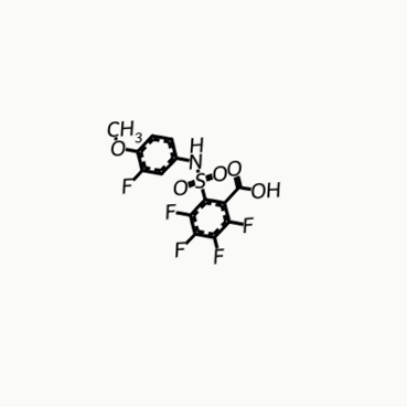 COc1ccc(NS(=O)(=O)c2c(F)c(F)c(F)c(F)c2C(=O)O)cc1F